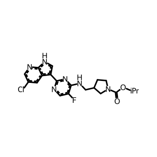 CC(C)OC(=O)N1CCC(CNc2nc(-c3c[nH]c4ncc(Cl)cc34)ncc2F)C1